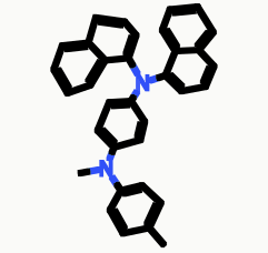 Cc1ccc(N(C)c2ccc(N(c3cccc4ccccc34)c3cccc4ccccc34)cc2)cc1